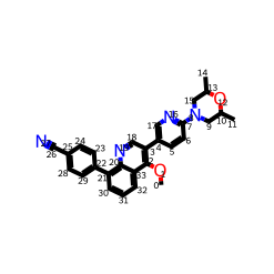 COc1c(-c2ccc(N3CC(C)OC(C)C3)nc2)cnc2c(-c3ccc(C#N)cc3)cccc12